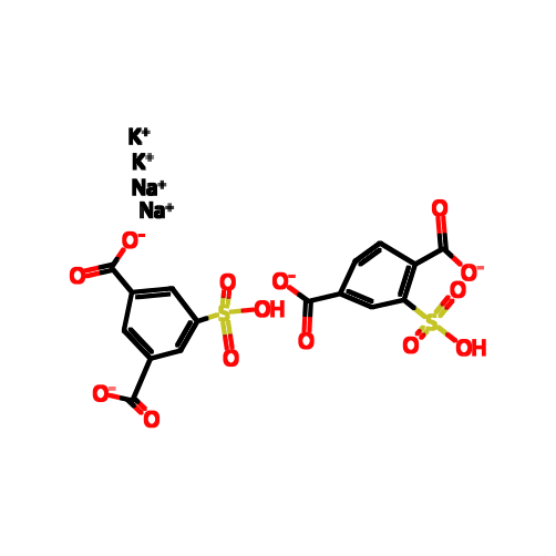 O=C([O-])c1cc(C(=O)[O-])cc(S(=O)(=O)O)c1.O=C([O-])c1ccc(C(=O)[O-])c(S(=O)(=O)O)c1.[K+].[K+].[Na+].[Na+]